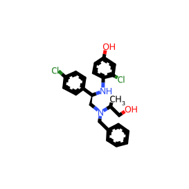 CC(CO)N(Cc1ccccc1)C[C@H](Nc1ccc(O)cc1Cl)c1ccc(Cl)cc1